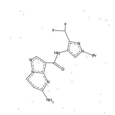 CC(C)n1cc(NC(=O)c2cnn3ccc(N)nc23)c(C(F)F)n1